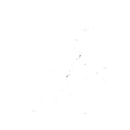 COc1ccc(C(OC[C@H]2S[C@@H](n3ccc(NC(=O)c4ccccc4)nc3=O)[C@H](O[Si](C)(C)C(C)(C)C)[C@@H]2O)(c2ccccc2)c2ccc(OC)cc2)cc1